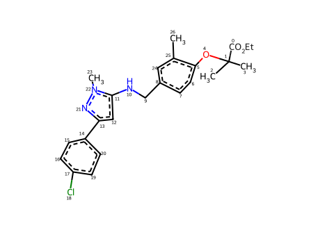 CCOC(=O)C(C)(C)Oc1ccc(CNc2cc(-c3ccc(Cl)cc3)nn2C)cc1C